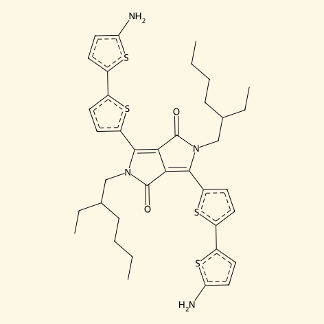 CCCCC(CC)CN1C(=O)C2=C(c3ccc(-c4ccc(N)s4)s3)N(CC(CC)CCCC)C(=O)C2=C1c1ccc(-c2ccc(N)s2)s1